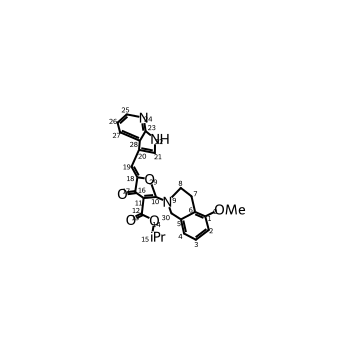 COc1cccc2c1CCN(C1=C(C(=O)OC(C)C)C(=O)C(=Cc3c[nH]c4ncccc34)O1)C2